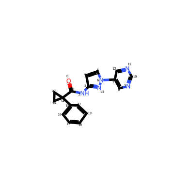 O=C(Nc1ccn(-c2cncnc2)n1)C1(c2ccccc2)CC1